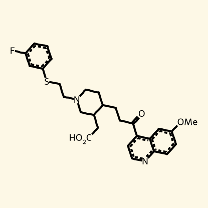 COc1ccc2nccc(C(=O)CCC3CCN(CCSc4cccc(F)c4)CC3CC(=O)O)c2c1